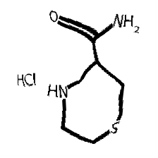 Cl.NC(=O)C1CSCCN1